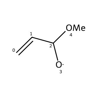 C=CC([O])OC